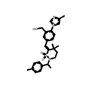 Cc1ccc(C(C)N2CCC(C)(C)/C(=C\c3ccc(-n4cnc(C)c4)c(CO)c3)S2(=O)=O)cc1